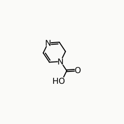 O=C(O)N1C=CN=CC1